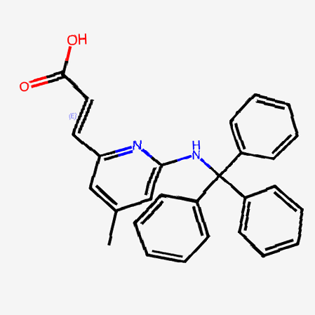 Cc1cc(/C=C/C(=O)O)nc(NC(c2ccccc2)(c2ccccc2)c2ccccc2)c1